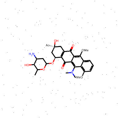 COc1c2c(c(N(C)C)c3c(OC)cccc13)C(=O)C1=C(C[C@@](O)(C(C)=O)C[C@@H]1OC1CC(N)C(O)C(C)O1)C2=O